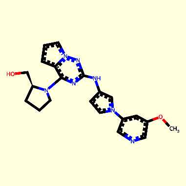 COc1cncc(-n2ccc(Nc3nc(N4CCC[C@H]4CO)c4cccn4n3)c2)c1